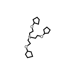 C1CCC(OCCN(CCOC2CCCC2)CCOC2CCCC2)C1